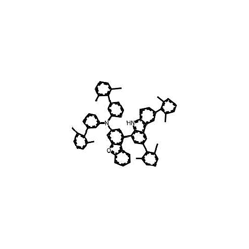 Cc1cccc(C)c1-c1cccc(N(c2cccc(-c3c(C)cccc3C)c2)c2cc(-c3cc(-c4c(C)cccc4C)cc4c3[nH]c3ccc(-c5c(C)cccc5C)cc34)c3c(c2)oc2ccccc23)c1